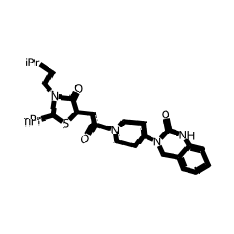 CCCC1SC(CC(=O)N2CCC(N3Cc4ccccc4NC3=O)CC2)C(=O)N1CCC(C)C